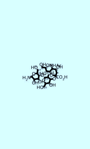 CC(=O)NC1C(O)CC(OC2C(O)[C@@H](O[C@H]3C(CO)O[C@H](N)C(O)C3O)OC(CO)[C@H]2O)(C(=O)O)O[C@@H]1[C@@H](O)[C@@H](O)CO